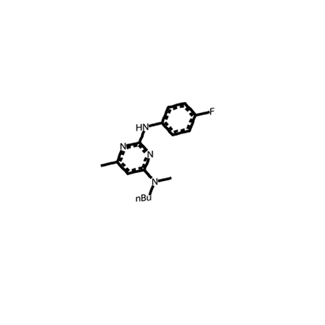 CCCCN(C)c1cc(C)nc(Nc2ccc(F)cc2)n1